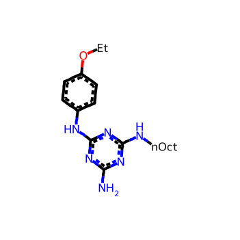 CCCCCCCCNc1nc(N)nc(Nc2ccc(OCC)cc2)n1